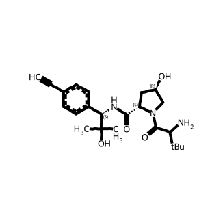 C#Cc1ccc([C@H](NC(=O)[C@@H]2C[C@@H](O)CN2C(=O)C(N)C(C)(C)C)C(C)(C)O)cc1